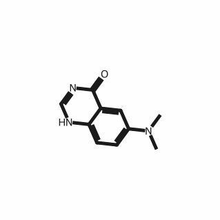 CN(C)c1ccc2[nH]cnc(=O)c2c1